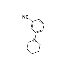 N#Cc1cccc(N2CCCCC2)c1